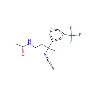 CC(=O)NCCC(C)(N=C=S)c1cccc(C(F)(F)F)c1